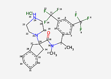 CC(c1cc(C(F)(F)F)cc(C(F)(F)F)c1)N(C)C(=O)C1(N2CCNCC2)Cc2ccccc2C1.Cl